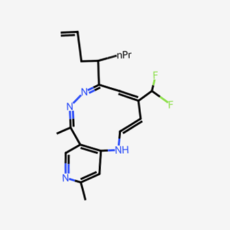 C=CCC(CCC)C1=N/N=C(/C)c2cnc(C)cc2N/C=C/C(C(F)F)=C\1